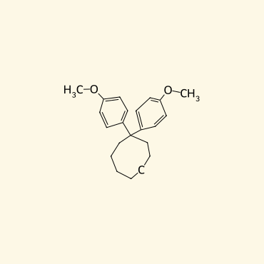 COc1ccc(C2(c3ccc(OC)cc3)CCCCCCC2)cc1